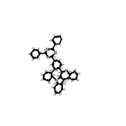 C1=CCCC(c2nc(-c3ccccc3)nc(-c3ccc4c(c3)-c3ccccc3-n3c5ccccc5c5c6ccccc6nc-4c53)n2)=C1